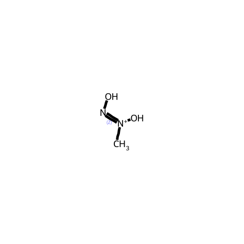 C/[N+](O)=N/O